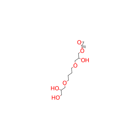 OCC(O)COCCCCOCC(O)CO[C@@H]1CO1